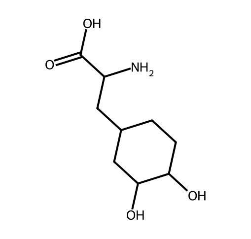 NC(CC1CCC(O)C(O)C1)C(=O)O